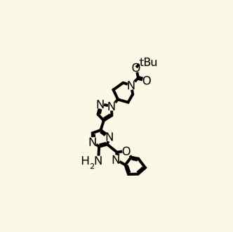 CC(C)(C)OC(=O)N1CCC(n2cc(-c3cnc(N)c(-c4nc5ccccc5o4)n3)cn2)CC1